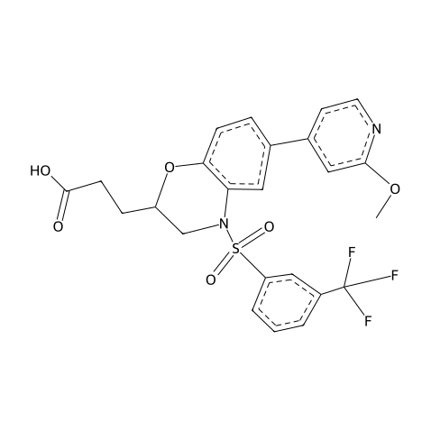 COc1cc(-c2ccc3c(c2)N(S(=O)(=O)c2cccc(C(F)(F)F)c2)CC(CCC(=O)O)O3)ccn1